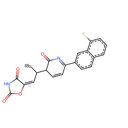 CC(C)(C)C(/C=C1/OC(=O)NC1=O)C1C=CC(c2ccc3cccc(F)c3c2)=NC1=O